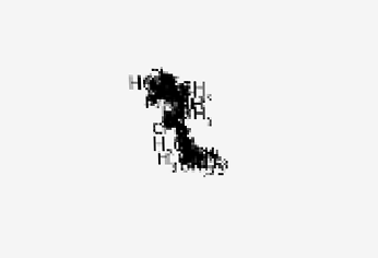 COC[C@H](NC(=O)[C@H](C)NCc1c(F)cc(Cl)cc1Oc1ccc(-c2cnc(CN(C(=O)OC(C)(C)C)C(C)(C)C)n2C)cc1)C(=O)N(C)[C@@]1(Cc2ccc(Cl)cc2)CCCN(C(=O)[C@@H](CC(=O)O)CC(F)(F)F)C1